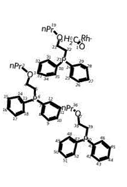 C=O.CCCOCCP(c1ccccc1)c1ccccc1.CCCOCCP(c1ccccc1)c1ccccc1.CCCOCCP(c1ccccc1)c1ccccc1.[Rh]